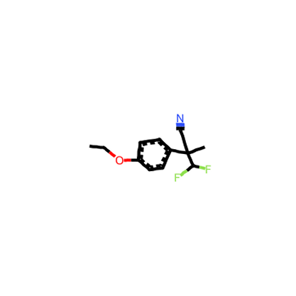 CCOc1ccc(C(C)(C#N)C(F)F)cc1